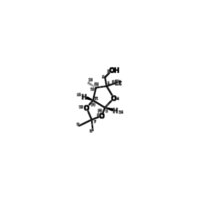 CCC1(CO)O[C@@H]2OC(C)(C)O[C@@H]2[C@@H]1C